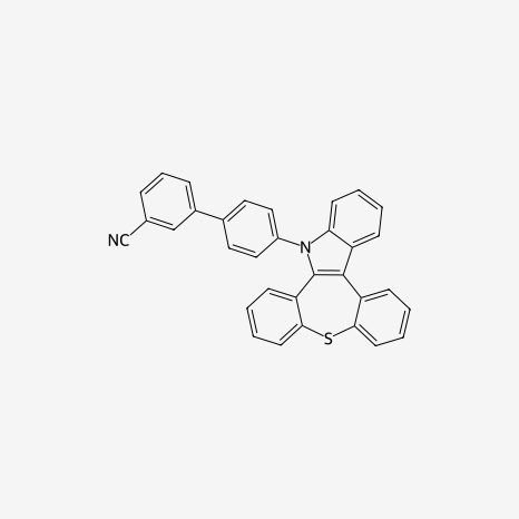 N#Cc1cccc(-c2ccc(-n3c4c(c5ccccc53)-c3ccccc3Sc3ccccc3-4)cc2)c1